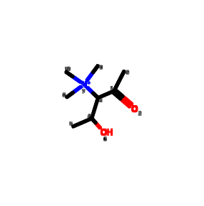 CC(=O)C(C(C)O)[N+](C)(C)C